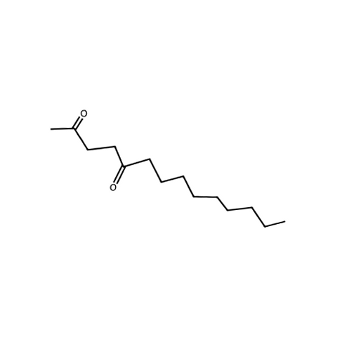 CCCCCCCCCC(=O)CCC(C)=O